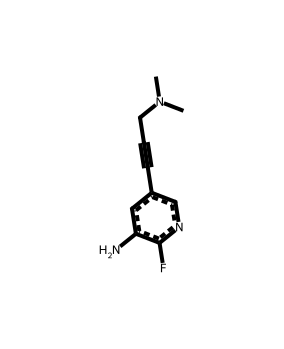 CN(C)CC#Cc1cnc(F)c(N)c1